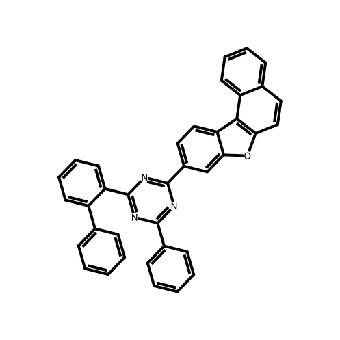 c1ccc(-c2nc(-c3ccc4c(c3)oc3ccc5ccccc5c34)nc(-c3ccccc3-c3ccccc3)n2)cc1